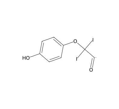 O=[C]C(I)(I)Oc1ccc(O)cc1